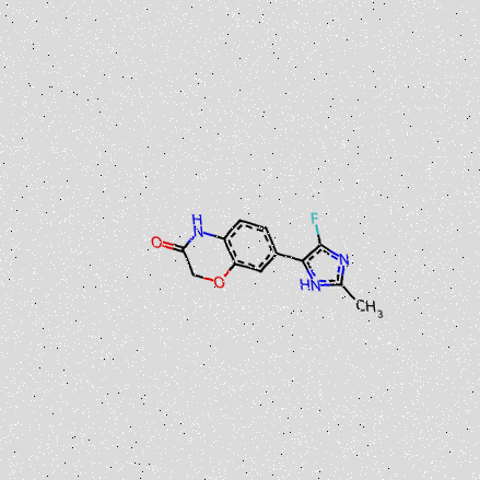 Cc1nc(F)c(-c2ccc3c(c2)OCC(=O)N3)[nH]1